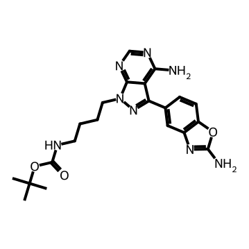 CC(C)(C)OC(=O)NCCCCn1nc(-c2ccc3oc(N)nc3c2)c2c(N)ncnc21